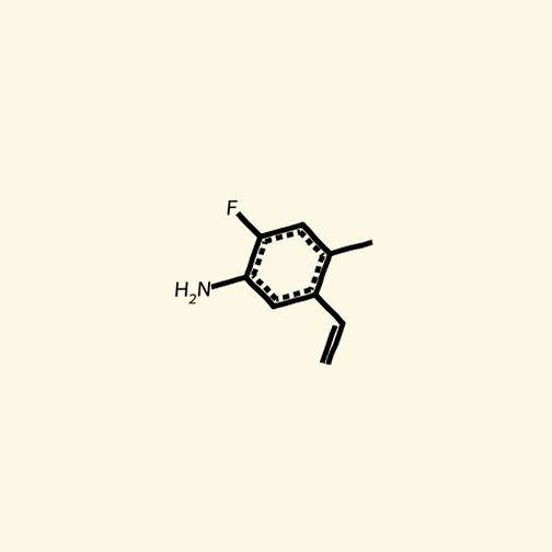 C=Cc1cc(N)c(F)cc1C